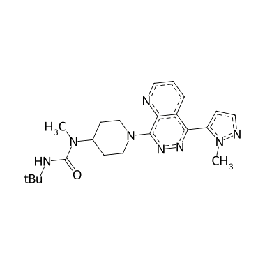 CN(C(=O)NC(C)(C)C)C1CCN(c2nnc(-c3ccnn3C)c3cccnc23)CC1